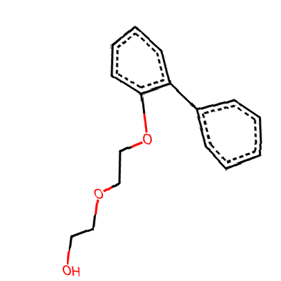 OCCOCCOc1ccccc1-c1ccccc1